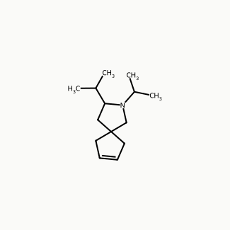 CC(C)C1CC2(CC=CC2)CN1C(C)C